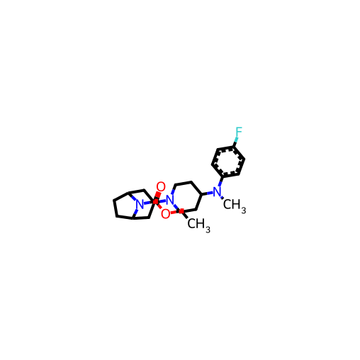 CCOC(=O)N1C2CCC1CC(N1CCC(N(C)c3ccc(F)cc3)CC1)C2